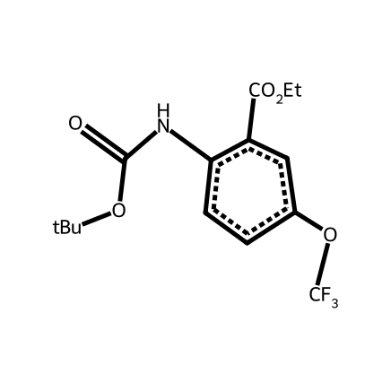 CCOC(=O)c1cc(OC(F)(F)F)ccc1NC(=O)OC(C)(C)C